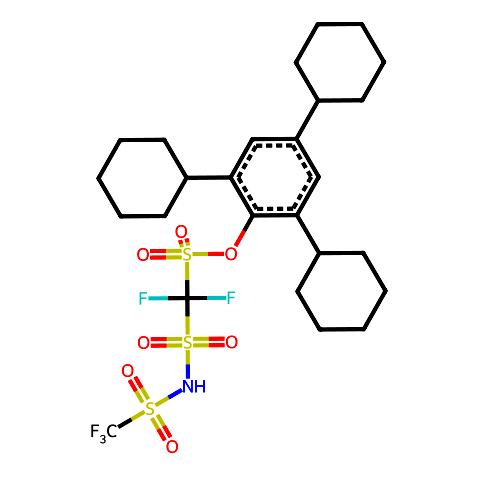 O=S(=O)(NS(=O)(=O)C(F)(F)S(=O)(=O)Oc1c(C2CCCCC2)cc(C2CCCCC2)cc1C1CCCCC1)C(F)(F)F